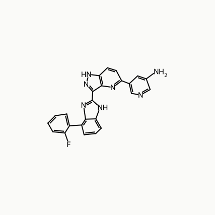 Nc1cncc(-c2ccc3[nH]nc(-c4nc5c(-c6ccccc6F)cccc5[nH]4)c3n2)c1